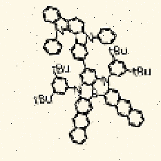 CC(C)(C)c1cc(N2c3cc4cc5ccccc5cc4cc3B3c4cc5cc6ccccc6cc5cc4N(c4cc(C(C)(C)C)cc(C(C)(C)C)c4)c4cc(-c5ccc6c7c(ccc8c9ccccc9n(-c9ccccc9)c87)n(-c7ccccc7)c6c5)cc2c43)cc(C(C)(C)C)c1